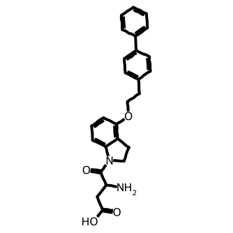 NC(CC(=O)O)C(=O)N1CCc2c(OCCc3ccc(-c4ccccc4)cc3)cccc21